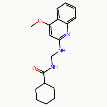 COc1cc(NCNC(=O)C2CCCCC2)nc2ccccc12